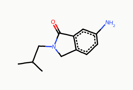 C[C](C)CN1Cc2ccc(N)cc2C1=O